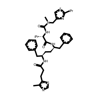 Cc1ncsc1CCC(=O)N[C@H](CC[C@H](Cc1ccccc1)NC(=O)[C@@H](NC(=O)N(C)Cc1csc(C(C)C)n1)C(C)C)Cc1ccccc1